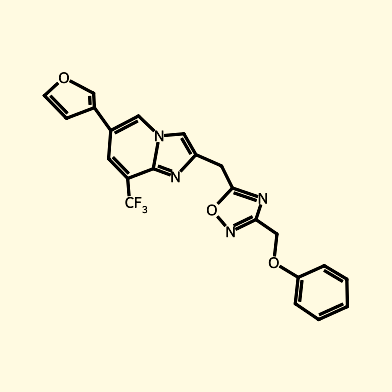 FC(F)(F)c1cc(-c2ccoc2)cn2cc(Cc3nc(COc4ccccc4)no3)nc12